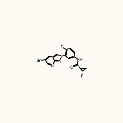 O=C(Nc1ccc(F)c(-n2cc3cc(Br)cnc3n2)c1)[C@H]1C[C@@H]1F